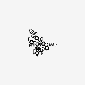 COc1cccc(OC)c1-c1ccc2c(=O)n(-c3ccc(S(=O)(=O)N4CCOCC4)cc3)c([C@H](Cc3cc(F)cc(F)c3)NC(=O)Cn3nc(C(F)F)c4c3C(F)(F)C3CC43)nc2c1